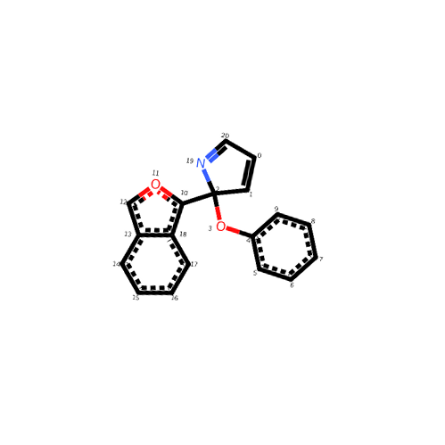 C1=CC(Oc2ccccc2)(c2occ3ccccc23)N=C1